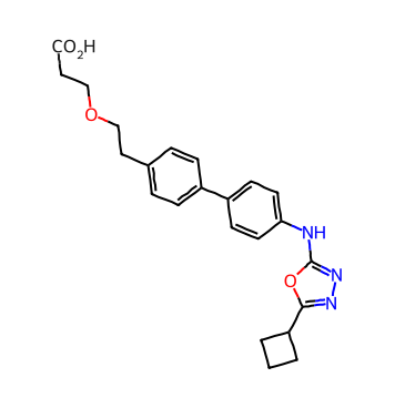 O=C(O)CCOCCc1ccc(-c2ccc(Nc3nnc(C4CCC4)o3)cc2)cc1